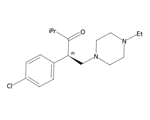 CCN1CCN(C[C@H](C(=O)C(C)C)c2ccc(Cl)cc2)CC1